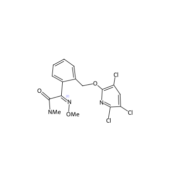 CNC(=O)/C(=N\OC)c1ccccc1COc1nc(Cl)c(Cl)cc1Cl